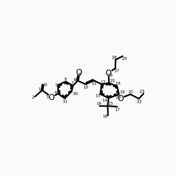 C=C(C)Oc1ccc(C(=O)C=Cc2cc(C(C)(C)C)c(OCCC)cc2OCCC)cc1